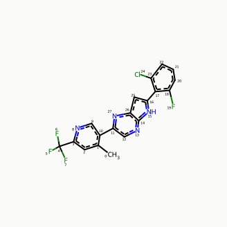 Cc1cc(C(F)(F)F)ncc1-c1cnc2[nH]c(-c3c(F)cccc3Cl)cc2n1